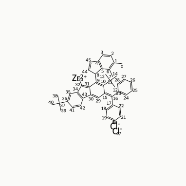 Cc1ccc2c(c1C)C(c1c(C(C)(C)C)c(=C(c3ccccc3)c3ccccc3)cc3c1=[C]([Zr+2])c1cc(C(C)(C)C)ccc1-3)C=C2.[Cl-].[Cl-]